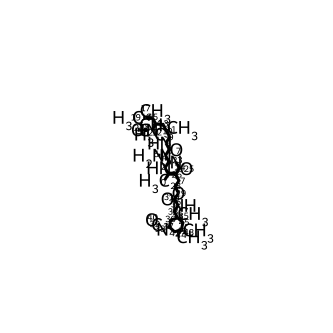 Cc1[nH]c(N(N)C(=O)NCC(C)(C)CC(CC(C)(C)C)N=C=O)nc(=O)c1CCOC(=O)NCC1(C)CC(N=C=O)CC(C)(C)C1